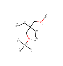 CCOCC(CO[Si](CC)(CC)CC)(CC(C)C)CC(C)C